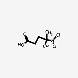 CC(C)(CCC(=O)O)N(Cl)Cl